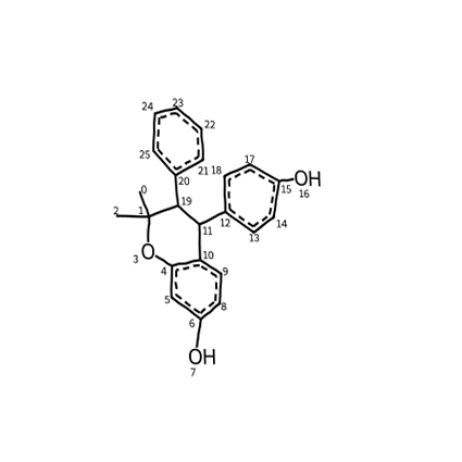 CC1(C)Oc2cc(O)ccc2C(c2ccc(O)cc2)C1c1ccccc1